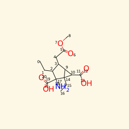 CCC1C(CC(=O)OC)C2C(C(=O)O)C2(CC)C1(N)C(=O)O